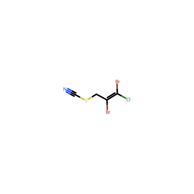 N#CSCC(Br)=C(Cl)Br